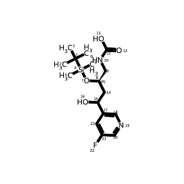 CC(C)(C)[Si](C)(C)O[C@@H](CNC(=O)O)CC(O)c1cncc(F)c1